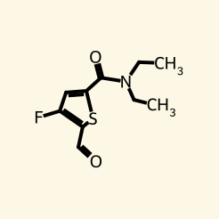 CCN(CC)C(=O)c1cc(F)c(C=O)s1